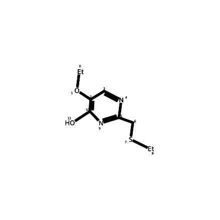 CCOc1cnc(CSCC)nc1O